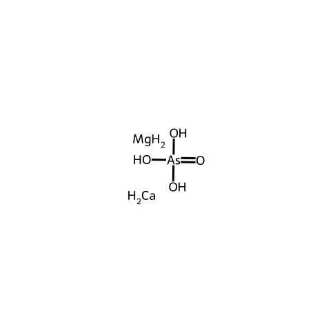 O=[As](O)(O)O.[CaH2].[MgH2]